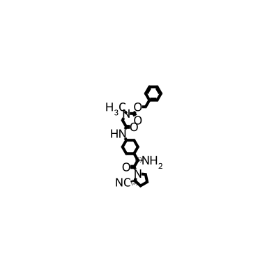 CN(CC(=O)NC1CCC([C@H](N)C(=O)N2CCC[C@H]2C#N)CC1)C(=O)OCc1ccccc1